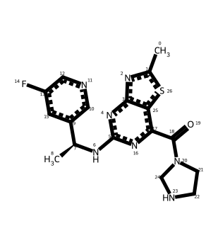 Cc1nc2nc(N[C@@H](C)c3cncc(F)c3)nc(C(=O)N3CCNC3)c2s1